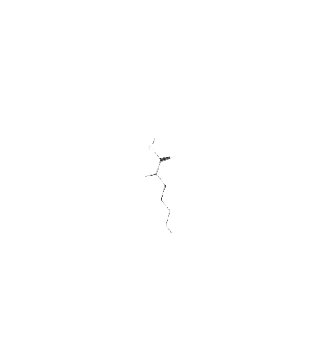 CCCCCC([O])C(=O)NC